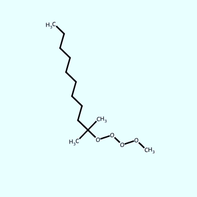 CCCCCCCCCC(C)(C)OOOOC